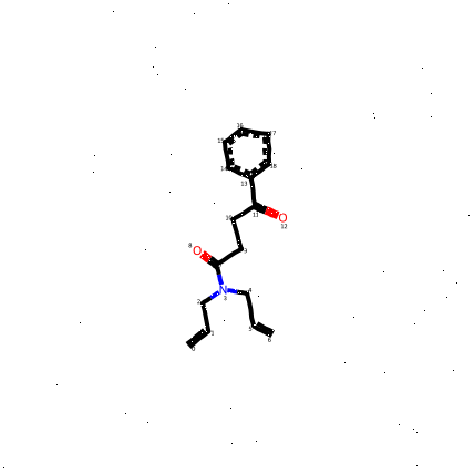 C=CCN(CC=C)C(=O)CCC(=O)c1ccccc1